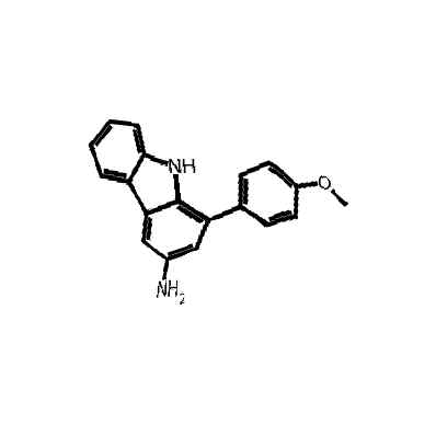 COc1ccc(-c2cc(N)cc3c2[nH]c2ccccc23)cc1